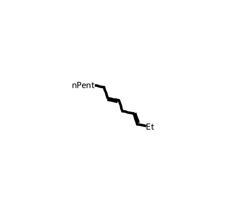 CCC=CCC=CCCCCCC